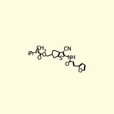 CC(C)N(C)C(=O)OCC1CCc2c(sc(NC(=O)C=Cc3ccco3)c2C#N)C1